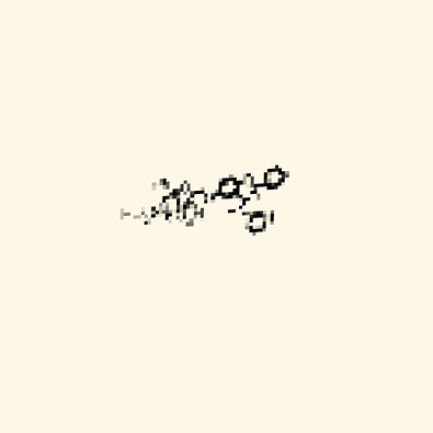 CC(C)(C)C(CN(C(=O)O)C(=O)O)(OCCOc1ccc(OCc2ccccc2)c(C(=O)Nc2cccnc2)c1)C(C)(C)C